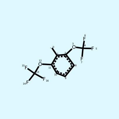 [CH2]c1c(OC(F)(F)F)cccc1OC(F)(F)F